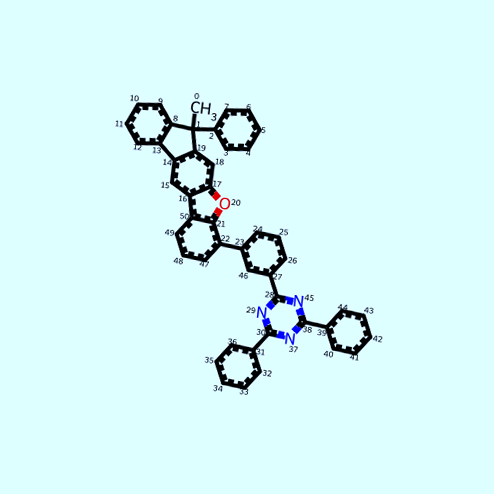 CC1(c2ccccc2)c2ccccc2-c2cc3c(cc21)oc1c(-c2cccc(-c4nc(-c5ccccc5)nc(-c5ccccc5)n4)c2)cccc13